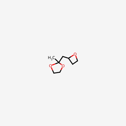 CC1(CC2CCO2)OCCO1